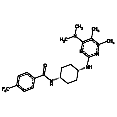 Cc1nc(N[C@H]2CC[C@@H](NC(=O)c3ccc(C(F)(F)F)cc3)CC2)nc(N(C)C)c1C